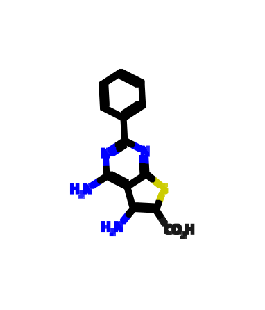 Nc1nc(-c2ccccc2)nc2sc(C(=O)O)c(N)c12